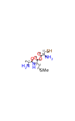 CSCCC(NC(=O)C(C)N)C(=O)OC(=O)C(N)CS